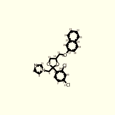 Clc1ccc(C2(Cn3ccnc3)OCC(COc3ccc4ccccc4c3)O2)c(Cl)c1